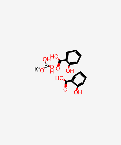 O=C(O)c1ccccc1O.O=C(O)c1ccccc1O.[K+].[O-]B(O)O